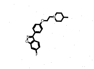 CC1CCN(CCOc2ccc(-c3noc4cc(F)ccc34)cc2)CC1